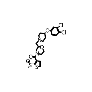 C[S+]([O-])c1sccc1C(=O)N1CCOC(CN2CCC(Oc3ccc(Cl)c(Cl)c3)CC2)C1